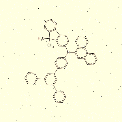 CC1(C)c2ccccc2-c2ccc(N(c3ccc(-c4cc(-c5ccccc5)cc(-c5ccccc5)c4)cc3)c3cc4ccccc4c4ccccc34)cc21